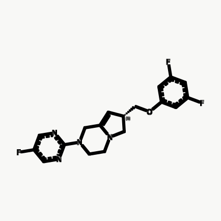 Fc1cnc(N2CCN3C[C@@H](COc4cc(F)cc(F)c4)C=C3C2)nc1